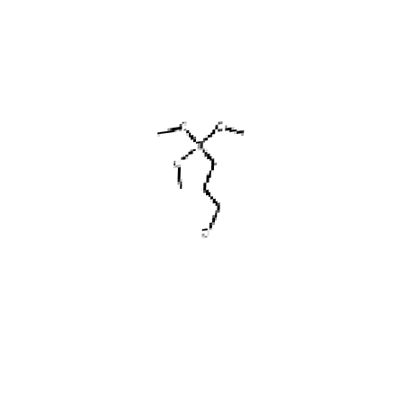 C[O][Ti]([CH2]CCCl)([O]C)[O]C